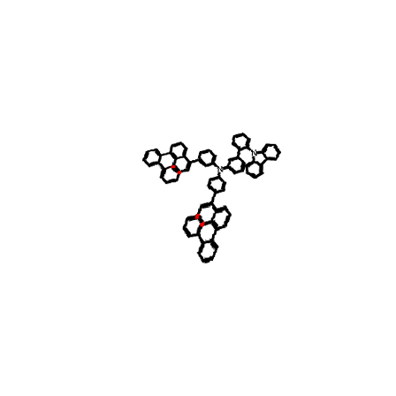 c1ccc(-c2ccccc2-c2cccc3c(-c4ccc(N(c5cccc(-c6ccccc6-n6c7ccccc7c7ccccc76)c5)c5cccc(-c6cccc7c(-c8ccccc8-c8ccccc8)cccc67)c5)cc4)cccc23)cc1